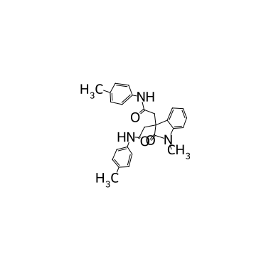 Cc1ccc(NC(=O)CC2(CC(=O)Nc3ccc(C)cc3)C(=O)N(C)c3ccccc32)cc1